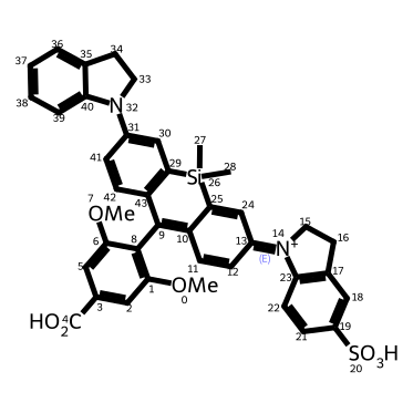 COc1cc(C(=O)O)cc(OC)c1C1=C2C=C/C(=[N+]3/CCc4cc(S(=O)(=O)O)ccc43)C=C2[Si](C)(C)c2cc(N3CCc4ccccc43)ccc21